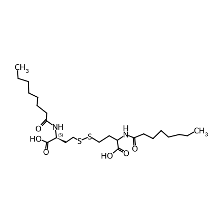 CCCCCCCC(=O)NC(CCSSCC[C@H](NC(=O)CCCCCCC)C(=O)O)C(=O)O